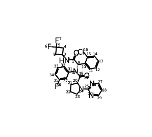 O=C(NC1CC(F)(F)C1)[C@H](c1ccccc1Cl)N(C(=O)[C@@H]1CCCN1c1ncccn1)c1cccc(F)c1